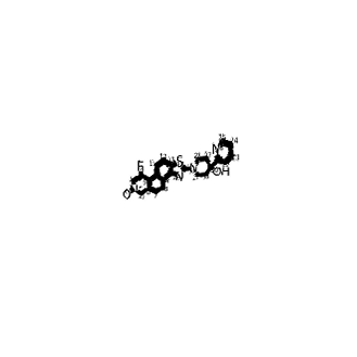 O=[N+]1C=C(F)c2c(ccc3c2ccc2sc(N4CCC(O)(c5ccccn5)CC4)nc23)C1